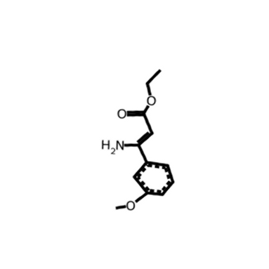 CCOC(=O)/C=C(\N)c1cccc(OC)c1